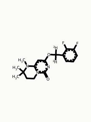 [2H]C([2H])(Oc1cc2n(c(=O)n1)CCC(C)(C)N2C)c1cccc(F)c1F